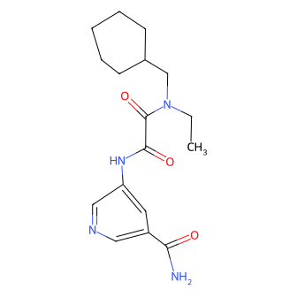 CCN(CC1CCCCC1)C(=O)C(=O)Nc1cncc(C(N)=O)c1